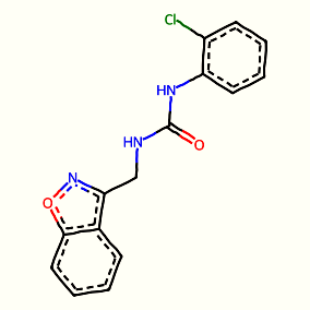 O=C(NCc1noc2ccccc12)Nc1ccccc1Cl